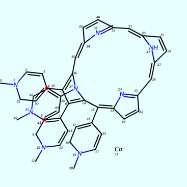 CN1C=CC(c2c(C3=CCN(C)C=C3)c3c(C4=CCN(C)C=C4)c4nc(cc5ccc(cc6nc(cc2n3C2=CCN(C)C=C2)C=C6)[nH]5)C=C4)=CC1.[Co]